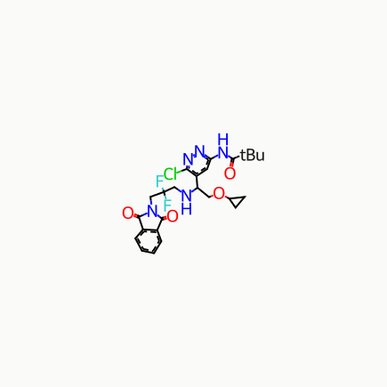 CC(C)(C)C(=O)Nc1cc(C(COC2CC2)NCC(F)(F)CN2C(=O)c3ccccc3C2=O)c(Cl)nn1